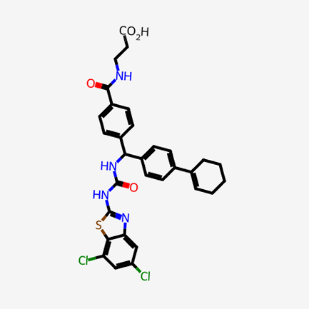 O=C(O)CCNC(=O)c1ccc(C(NC(=O)Nc2nc3cc(Cl)cc(Cl)c3s2)c2ccc(C3=CCCCC3)cc2)cc1